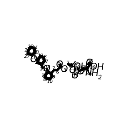 C[C@H](COC(=O)CCc1ccccc1OCc1cccc(Oc2ccccc2)c1)OP(=O)(O)OC[C@H](N)C(=O)O